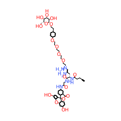 C#CCCC(=O)N[C@@H](C/C(N)=C/N(N)CCOCCOCCOCCOc1ccc(CCO[C@@H]2O[C@H](CO)[C@@H](O)[C@H](O)[C@H]2O)cc1)C(=O)NCC(=O)Nc1ccc2c(c1)C(=O)OC21c2ccc(O)cc2Oc2cc(O)ccc21